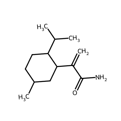 C=C(C(N)=O)C1CC(C)CCC1C(C)C